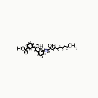 CCCCCCCCC(O)/C=C/c1cccc(CC(O)c2cccc(C(=O)O)c2)n1